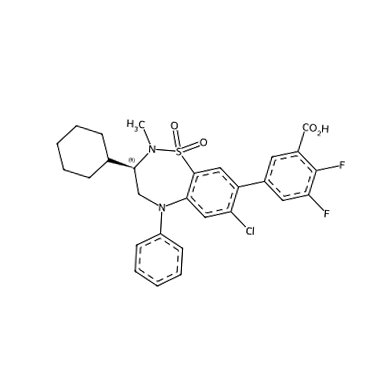 CN1[C@H](C2CCCCC2)CN(c2ccccc2)c2cc(Cl)c(-c3cc(F)c(F)c(C(=O)O)c3)cc2S1(=O)=O